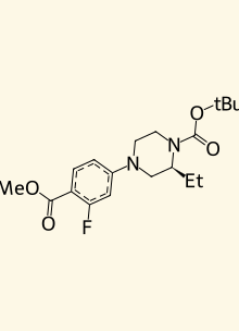 CC[C@H]1CN(c2ccc(C(=O)OC)c(F)c2)CCN1C(=O)OC(C)(C)C